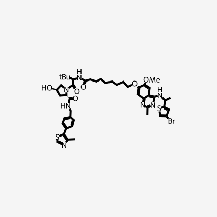 COc1cc2c(NC(C)c3cc(Br)cs3)nc(C)nc2cc1OCCCCCCCCC(=O)NC(C(=O)N1C[C@H](O)C[C@H]1C(=O)NCc1ccc(-c2scnc2C)cc1)C(C)(C)C